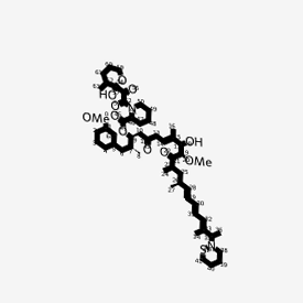 COC1CCCC(C[C@@H](C)[C@H](CC(=O)C/C=C(\C)C(O)[C@@H](OC)C(=O)C(C)C[C@H](C)/C=C/C=C/C=C(\C)C(C)N2CCCCS2)OC(=O)C2CCCCN2C(=O)C(=O)C2(O)OCCCC2C)C1